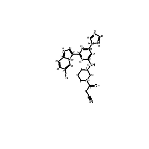 N#CCC(=O)N1CCC[C@@H](Nc2cc(-n3cncn3)nc(-c3cnc4ccc(F)cn34)n2)C1